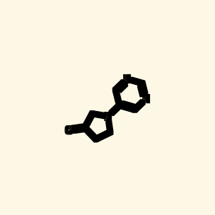 O=C1CCN(c2cncnc2)C1